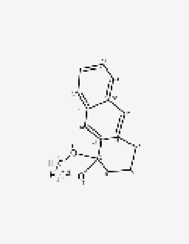 COC1(OC)CCCc2cc3ccccc3cc21